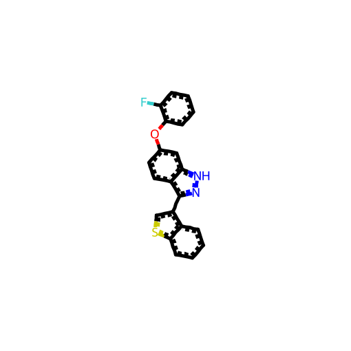 Fc1ccccc1Oc1ccc2c(-c3csc4ccccc34)n[nH]c2c1